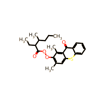 CCCC(C)C(CC)C(=O)OOc1c(C)cc2sc3ccccc3c(=O)c2c1C